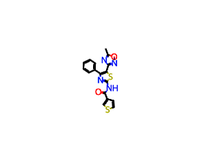 Cc1nc(-c2sc(NC(=O)c3ccsc3)nc2-c2ccccc2)no1